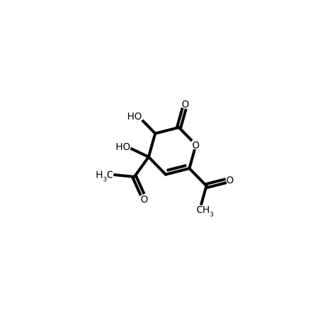 CC(=O)C1=CC(O)(C(C)=O)C(O)C(=O)O1